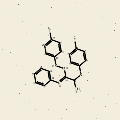 CC(Sc1ccc(F)cc1)C(=Nc1ccccc1)SSc1ccc(F)cc1